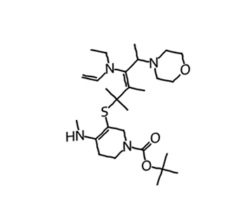 C=CN(CC)/C(=C(/C)C(C)(C)SC1=C(NC)CCN(C(=O)OC(C)(C)C)C1)C(C)N1CCOCC1